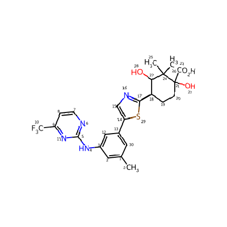 Cc1cc(Nc2nccc(C(F)(F)F)n2)cc(-c2cnc(C3CCC(O)(C(=O)O)C(C)(C)C3O)s2)c1